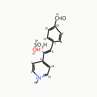 C[n+]1ccc(C=Cc2ccc(C=O)cc2)cc1.O=S(=O)(O)O